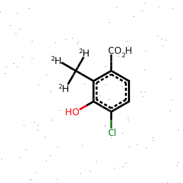 [2H]C([2H])([2H])c1c(C(=O)O)ccc(Cl)c1O